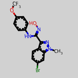 Cn1nc(/C(=N/O)Nc2ccc(OC(F)(F)F)cc2)c2ccc(Br)cc21